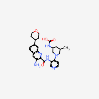 CC1CC(NC(=O)O)CN(c2ccncc2NC(=O)c2nc3cc(C4CCOCC4)ccc3cc2N)C1